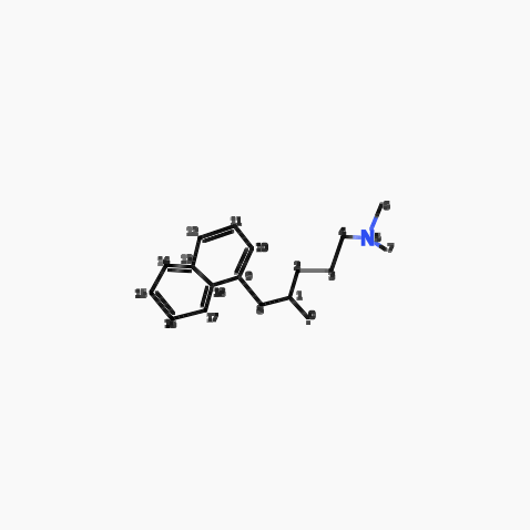 [CH2]C(CCCN(C)C)Cc1cccc2ccccc12